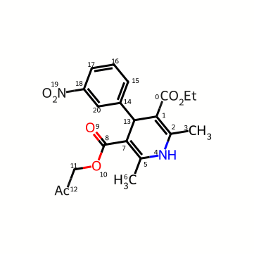 CCOC(=O)C1=C(C)NC(C)=C(C(=O)OCC(C)=O)C1c1cccc([N+](=O)[O-])c1